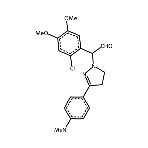 CNc1ccc(C2=NN(C(C=O)c3cc(OC)c(OC)cc3Cl)CC2)cc1